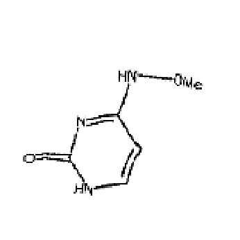 CONc1cc[nH]c(=O)n1